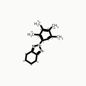 Cc1cc(-n2nc3c(n2)CCCC3)c(C)c(C)c1C